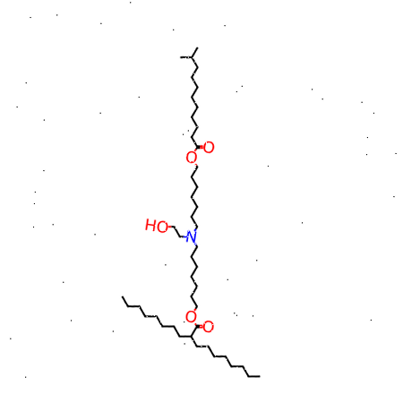 CCCCCCCCC(CCCCCCCC)C(=O)OCCCCCCCN(CCO)CCCCCCCOC(=O)CCCCCCCCC(C)C